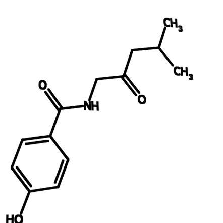 CC(C)CC(=O)CNC(=O)c1ccc(O)cc1